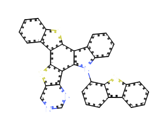 c1ccc2c(c1)sc1c(-n3c4ccccc4c4c5sc6ccccc6c5c5sc6cncnc6c5c43)cccc12